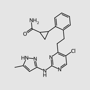 Cc1cc(Nc2ncc(Cl)c(CCc3ccccc3C3CC3C(N)=O)n2)n[nH]1